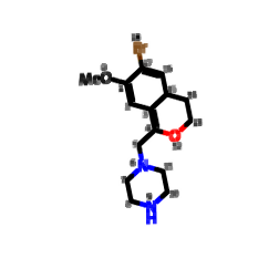 COC1=CC2=C(CN3CCNCC3)OCCC2C=C1Br